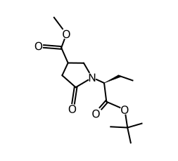 CC[C@@H](C(=O)OC(C)(C)C)N1CC(C(=O)OC)CC1=O